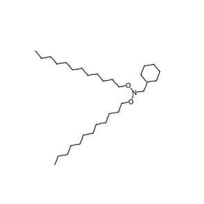 CCCCCCCCCCCCON(CC1CCCCC1)OCCCCCCCCCCCC